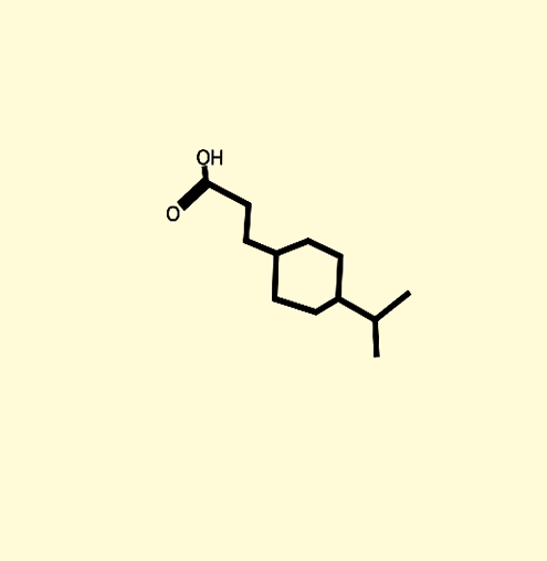 CC(C)C1CCC(CCC(=O)O)CC1